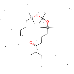 CCCC[Si](C)(C)O[Si](C)(C)O[Si](C)(C)CCCC(=O)C(C)CC